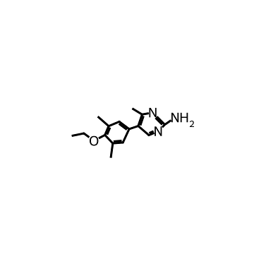 CCOc1c(C)cc(-c2cnc(N)nc2C)cc1C